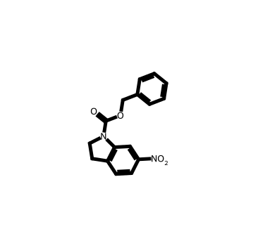 O=C(OCc1ccccc1)N1CCc2ccc([N+](=O)[O-])cc21